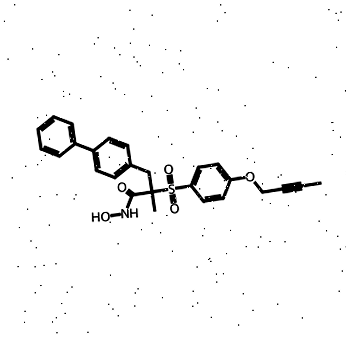 CC#CCOc1ccc(S(=O)(=O)C(C)(Cc2ccc(-c3ccccc3)cc2)C(=O)NO)cc1